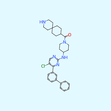 O=C(C1CCC2(CCNCC2)CC1)N1CCC(Nc2ncc(Cl)c(-c3cccc(-c4ccccc4)c3)n2)CC1